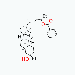 CCC(CC[C@@H](C)[C@H]1CC[C@H]2[C@@H]3CC[C@H]4C[C@](O)(CC)CC[C@]4(C)[C@H]3CC[C@]12C)OC(=O)c1ccccc1